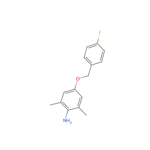 Cc1cc(OCc2ccc(F)cc2)cc(C)c1N